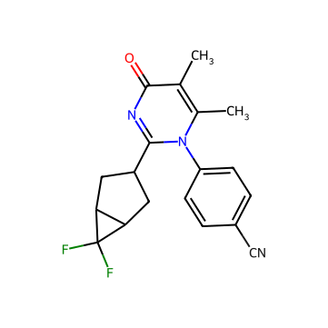 Cc1c(C)n(-c2ccc(C#N)cc2)c(C2CC3C(C2)C3(F)F)nc1=O